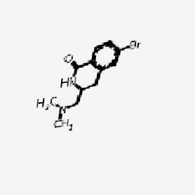 CN(C)CC1Cc2cc(Br)ccc2C(=O)N1